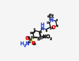 CCN1CCOC(CNc2ccc(S(N)(=O)=O)cc2[N+](=O)[O-])C1